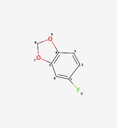 Fc1[c]cc2c(c1)OCO2